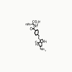 CCC[C@H](NC(=O)c1ccc(CCc2c[nH]c3cc(N)[nH]c(=O)c23)cc1)C(=O)O